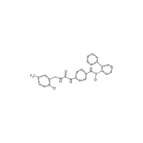 O=C(NCc1cc(C(F)(F)F)ccc1Cl)Nc1ccc(N[S+]([O-])c2ccccc2-c2ccccc2)cc1